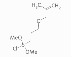 C=C(C)COCCC[Si](Cl)(OC)OC